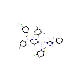 CCc1cc(C)cc(CC)c1Nc1nc(N(c2nc3cc(Cl)ccc3s2)c2c(CC)cc(C)cc2CC)cc(C)c1/N=N/c1c(C#N)c(-c2ccccc2)nn1-c1nc2cc(Cl)ccc2s1